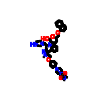 Cc1nn(C)c(COc2ccc(N3CCN(S(=O)(=O)N(C)C)CC3)cc2)c1-c1cccc2c(CCCOc3cccc4ccccc34)c(C(=O)O)n(CCN3CCNCC3)c12